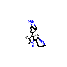 CC1=C(C#N)C(c2ccc3[nH]ncc3c2)C(C#N)=C(c2cccnc2)N1